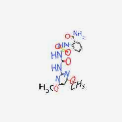 COc1cc(OC)nc(NC(=O)NS(=O)(=O)Nc2ccccc2C(N)=O)n1